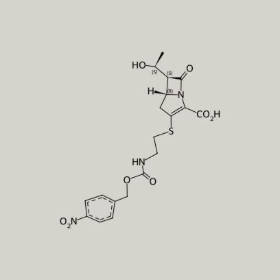 C[C@H](O)[C@H]1C(=O)N2C(C(=O)O)=C(SCCNC(=O)OCc3ccc([N+](=O)[O-])cc3)C[C@H]12